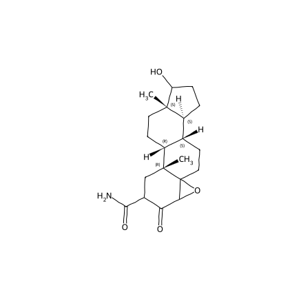 C[C@]12CC[C@@H]3[C@@H](CCC45OC4C(=O)C(C(N)=O)C[C@]35C)[C@@H]1CCC2O